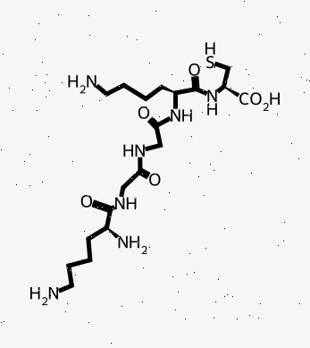 NCCCC[C@H](NC(=O)CNC(=O)CNC(=O)[C@@H](N)CCCCN)C(=O)N[C@@H](CS)C(=O)O